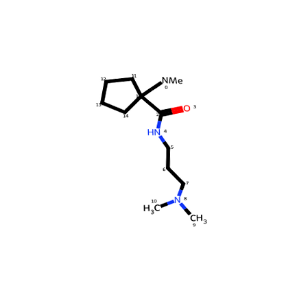 CNC1(C(=O)NCCCN(C)C)CCCC1